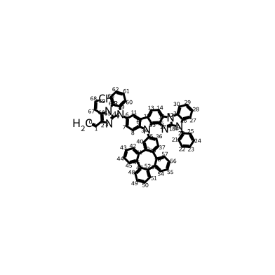 C=Cc1nc2n(-c3ccc4c(c3)c3ccc5c(nc6n(-c7ccccc7)c7ccccc7n56)c3n4-c3ccc4c(c3)-c3ccccc3-c3ccccc3-c3ccccc3-4)c3ccccc3n2c1/C=C\C